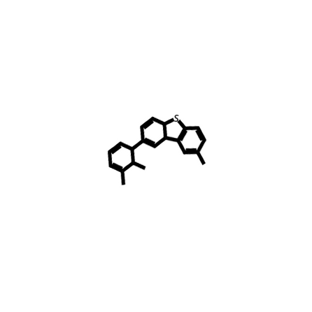 CC1=CC=CC(C2=CC3c4cc(C)ccc4SC3C=C2)C1C